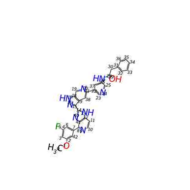 COc1cc(F)cc(-c2nccc3[nH]c(-c4n[nH]c5cnc(-c6cncc(NC(O)Cc7ccccc7)c6)cc45)nc23)c1